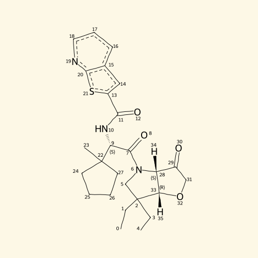 CCC1(CC)CN(C(=O)[C@@H](NC(=O)c2cc3cccnc3s2)C2(C)CCCC2)[C@@H]2C(=O)CO[C@@H]21